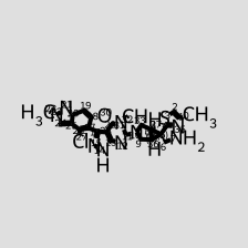 Cc1csc([C@]2(CN)[C@@H]3CN(c4nc5[nH]nc(-c6ccc7nn(C)cc7c6Cl)c5c(=O)n4C)C[C@@H]32)n1